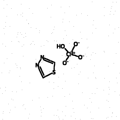 [O-][Cl+3]([O-])([O-])O.c1nncs1